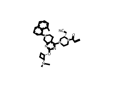 C=CC(=O)N1CCN(c2nc(O[C@H]3CC[C@H]3N(C)C)nc3c2CCN(c2cccc4cccc(C)c24)C3)C[C@@H]1CC#N